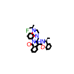 CC[C@H](NC(=O)c1c(CN2CCN(C(C)C)CC2)n(-c2ccc(F)cc2)c(=O)c2ccccc12)c1ccccc1